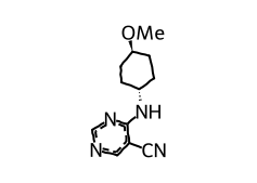 CO[C@H]1CC[C@H](Nc2ncncc2C#N)CC1